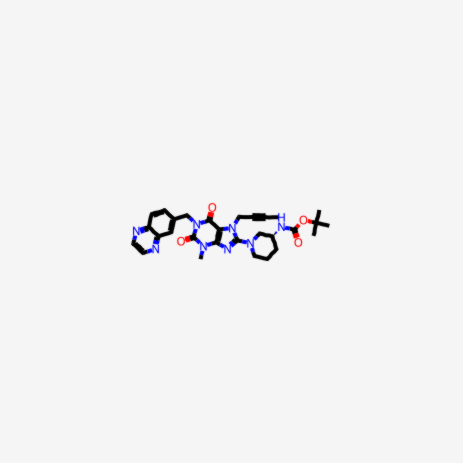 CC#CCn1c(N2CCC[C@@H](NC(=O)OC(C)(C)C)C2)nc2c1c(=O)n(Cc1ccc3nccnc3c1)c(=O)n2C